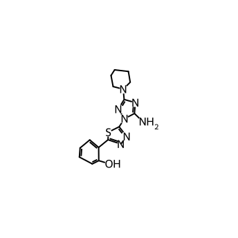 Nc1nc(N2CCCCC2)nn1-c1nnc(-c2ccccc2O)s1